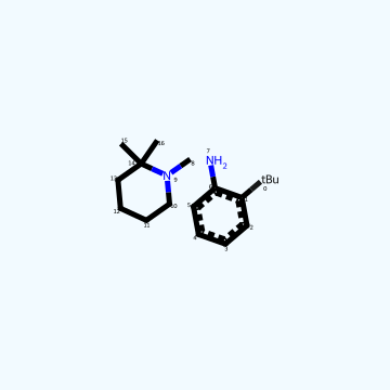 CC(C)(C)c1ccccc1N.CN1CCCCC1(C)C